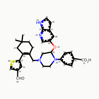 CC1(C)CCC(CN2CCN(c3ccc(C(=O)O)cc3)C(Oc3cnc4[nH]ccc4c3)C2)=C(c2cc(C=O)cs2)C1